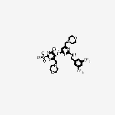 CCS(=O)(=O)c1nc(C)cc(CN2CCOCC2)n1.Cc1cc(CN2CCOCC2)nc(NCc2cc(C(F)(F)F)cc(C(F)(F)F)c2)n1